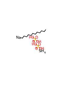 CCCCCCCCCCC[CH2][Na].O=S(=O)(O)O.O=S(=O)(O)O.[SiH4]